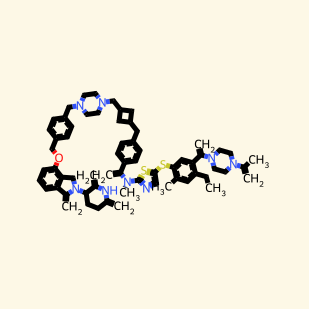 C=C1CCC(N2Cc3c(OCc4ccc(CN5CCN(CC6CC(Cc7ccc(C(=C)N(C)c8ncc(Sc9cc(C(=C)N%10CCN(C(=C)C)CC%10)c(CC)cc9C)s8)cc7)C6)CC5)cc4)cccc3C2=C)C(=C)N1